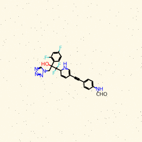 O=CNc1ccc(C#CC2=CNC(C(F)(F)C(O)(Cn3cnnn3)c3ccc(F)cc3F)C=C2)cc1